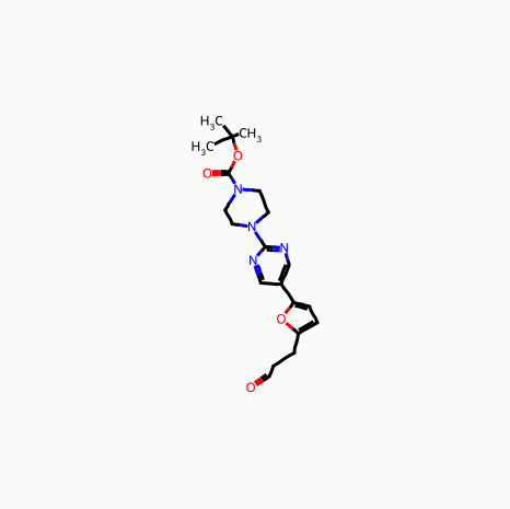 CC(C)(C)OC(=O)N1CCN(c2ncc(-c3ccc(CCC=O)o3)cn2)CC1